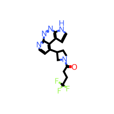 O=C(CCC(F)(F)F)N1CCC(c2ccnc3nnc4[nH]ccc4c23)C1